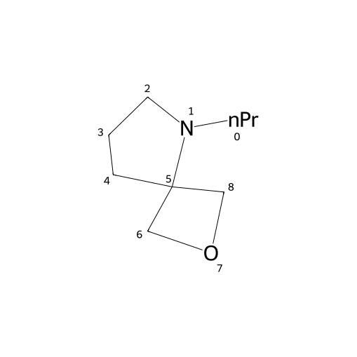 CCCN1CCCC12COC2